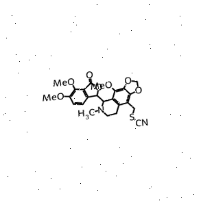 COc1ccc2c(c1OC)C(=O)OC2C1c2c(c(CSC#N)c3c(c2OC)OCO3)CCN1C